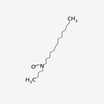 CCCCCCCCCCCCCCN(C=O)CCCC